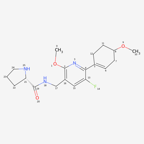 COc1nc(C2=CCC(OC)CC2)c(F)cc1CNC(=O)[C@@H]1CCCN1